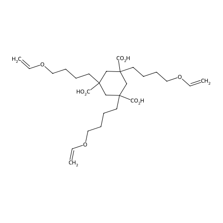 C=COCCCCC1(C(=O)O)CC(CCCCOC=C)(C(=O)O)CC(CCCCOC=C)(C(=O)O)C1